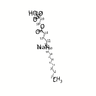 CCCCCCCCCCCCCCCC(=O)OCCS(=O)(=O)O.[NaH]